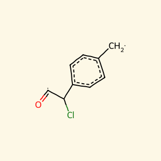 [CH2]c1ccc(C(Cl)[C]=O)cc1